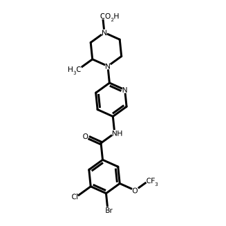 CC1CN(C(=O)O)CCN1c1ccc(NC(=O)c2cc(Cl)c(Br)c(OC(F)(F)F)c2)cn1